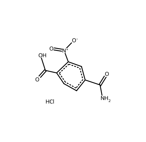 Cl.NC(=O)c1ccc(C(=O)O)c([N+](=O)[O-])c1